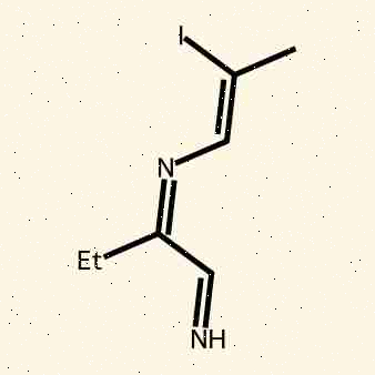 CC/C(C=N)=N/C=C(/C)I